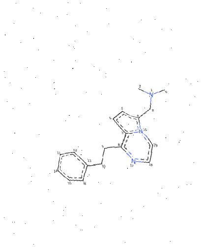 CN(C)Cc1ccc2c(CCc3ccccc3)nccn12